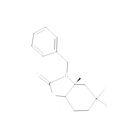 O=C1O[C@@H]2CCC(F)(F)C[C@H]2N1Cc1ccccc1